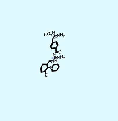 N/C(=N\C(=O)c1ccc(C[C@H](N)C(=O)O)cc1)NCc1cccc(Cl)c1N1CCCCC1